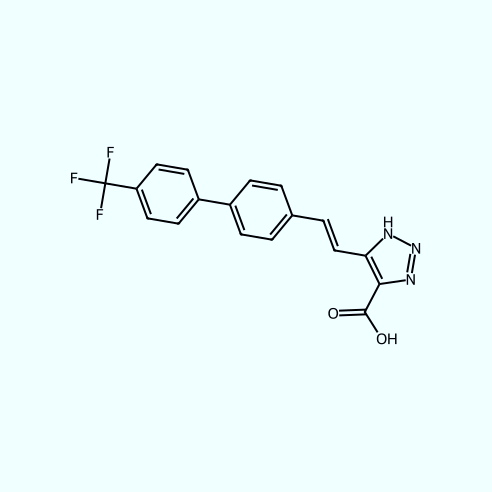 O=C(O)c1nn[nH]c1/C=C/c1ccc(-c2ccc(C(F)(F)F)cc2)cc1